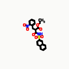 CCOC(=O)C(Cc1ccccc1[N+](=O)[O-])C(=O)NS(=O)(=O)c1ccc2ccccc2c1